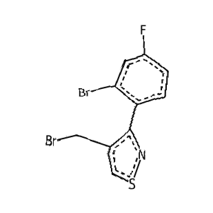 Fc1ccc(-c2nscc2CBr)c(Br)c1